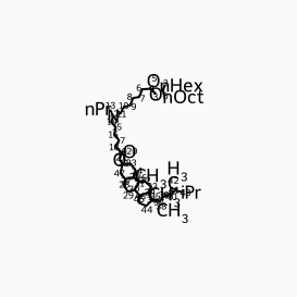 CCCCCCCCC(CCCCCC)OC(=O)CCCCCCN(CCC)CCCCCC(=O)OC1CCC2(C)C(=CCC3C2CCC2(C)C(C(C)CCC(C)C(C)C)CCC32)C1